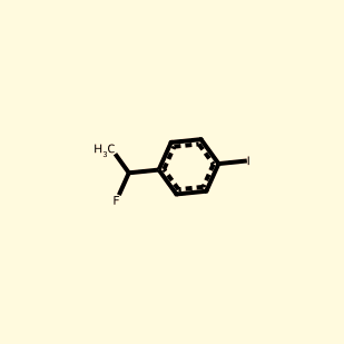 CC(F)c1ccc(I)cc1